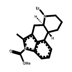 CCN1CCC[C@@H]2c3cccc4c3c(c(C)n4C(=O)OC)C[C@H]21